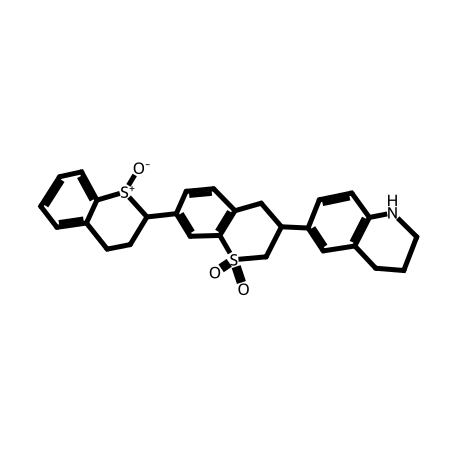 O=S1(=O)CC(c2ccc3c(c2)CCCN3)Cc2ccc(C3CCc4ccccc4[S+]3[O-])cc21